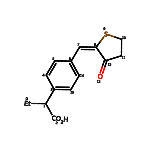 CCC(C(=O)O)c1ccc(C=C2SCCC2=O)cc1